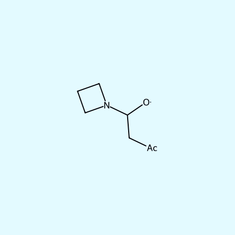 CC(=O)CC([O])N1CCC1